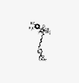 COCC(=O)N1CCN(CCCCCCCCN2C(=S)N(c3ccc(C#N)c(C(F)(F)F)c3)C(=O)C2(C)C)CC1